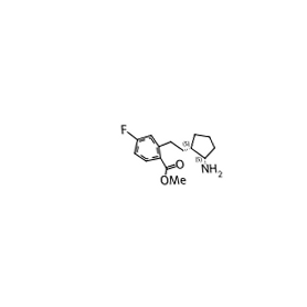 COC(=O)c1ccc(F)cc1CC[C@@H]1CCC[C@@H]1N